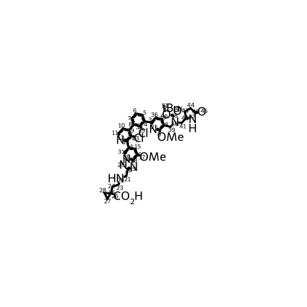 COc1nc(-c2cccc(-c3ccnc(-c4cc(OC)c5nc(CNCCC6(C(=O)O)CC6)nn5c4)c3Cl)c2Cl)ccc1CN(CC1CCC(=O)N1)C(=O)OC(C)(C)C